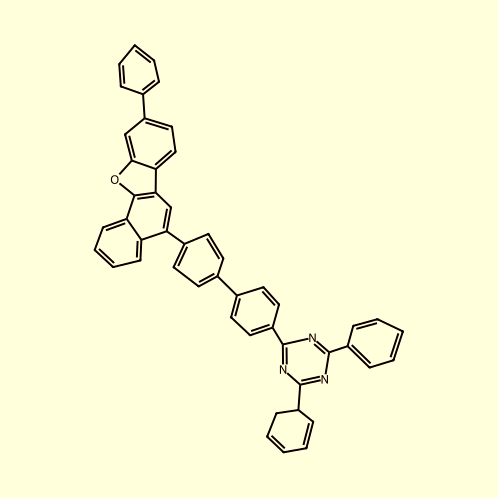 C1=CCC(c2nc(-c3ccccc3)nc(-c3ccc(-c4ccc(-c5cc6c7ccc(-c8ccccc8)cc7oc6c6ccccc56)cc4)cc3)n2)C=C1